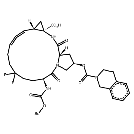 CC(C)(C)OC(=O)N[C@H]1CCC(F)(F)CCC=C=C[C@@H]2C[C@@]2(C(=O)O)NC(=O)[C@@H]2C[C@@H](OC(=O)N3CCc4ccccc4C3)CN2C1=O